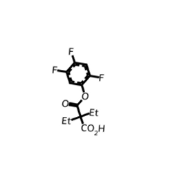 CCC(CC)(C(=O)O)C(=O)Oc1cc(F)c(F)cc1F